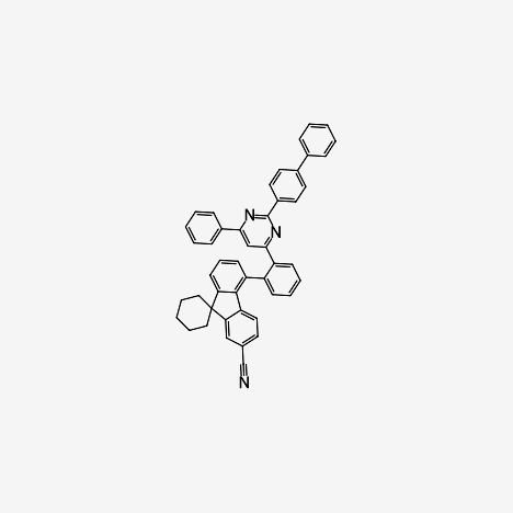 N#Cc1ccc2c(c1)C1(CCCCC1)c1cccc(-c3ccccc3-c3cc(-c4ccccc4)nc(-c4ccc(-c5ccccc5)cc4)n3)c1-2